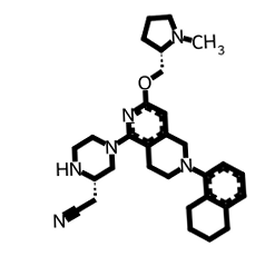 CN1CCC[C@H]1COc1cc2c(c(N3CCN[C@@H](CC#N)C3)n1)CCN(c1cccc3c1CCCC3)C2